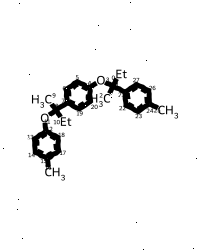 CCC(C)(Oc1ccc(C(C)(CC)Oc2ccc(C)cc2)cc1)c1ccc(C)cc1